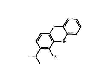 CCCCc1c(N(C)C)ccc2c1Nc1ccccc1S2